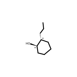 CCC[C@@H]1CCCC[C@H]1O